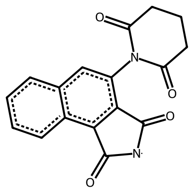 O=C1[N]C(=O)c2c1c(N1C(=O)CCCC1=O)cc1ccccc21